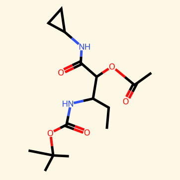 CCC(NC(=O)OC(C)(C)C)C(OC(C)=O)C(=O)NC1CC1